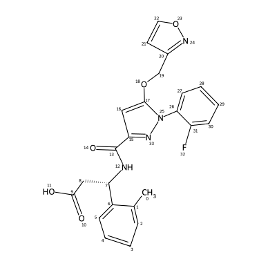 Cc1ccccc1[C@H](CC(=O)O)NC(=O)c1cc(OCc2ccon2)n(-c2ccccc2F)n1